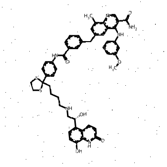 COc1cccc(Nc2c(C(N)=O)cnc3c(C)cc(Cc4cccc(C(=O)Nc5ccc(C6(CCCCNC[C@H](O)c7ccc(O)c8[nH]c(=O)ccc78)SCCS6)cc5)c4)cc23)c1